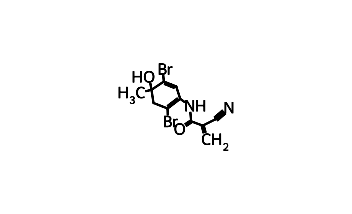 C=C(C#N)C(=O)NC1=C(Br)CC(C)(O)C(Br)=C1